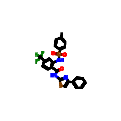 Cc1ccc(S(=O)(=O)Nc2cc(C(F)(F)F)ccc2C(=O)Nc2nc(-c3ccccc3)cs2)cc1